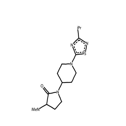 CNC1CCN(C2CCN(c3nc(C(C)C)ns3)CC2)C1=O